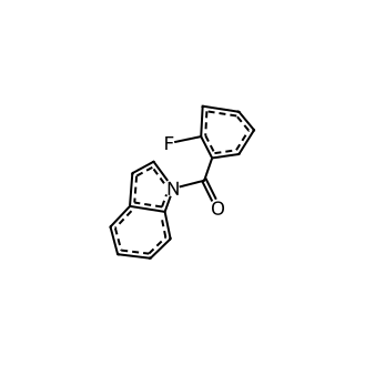 O=C(c1ccccc1F)n1ccc2ccccc21